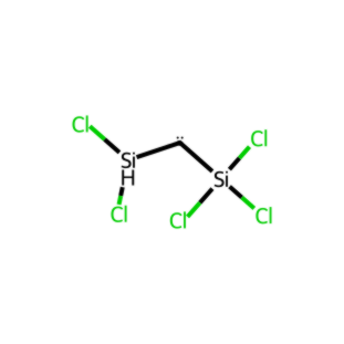 Cl[SiH](Cl)[C][Si](Cl)(Cl)Cl